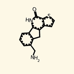 NCc1cccc2c1Cc1c-2[nH]c(=O)c2sccc12